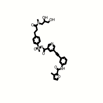 Cc1ccoc1C(=O)Nc1cccc(C#Cc2cncc(C(=O)N=S(C)(=O)c3ccc(CCC(=O)N(C)CC(O)CO)cc3)c2)c1